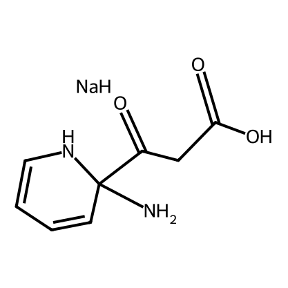 NC1(C(=O)CC(=O)O)C=CC=CN1.[NaH]